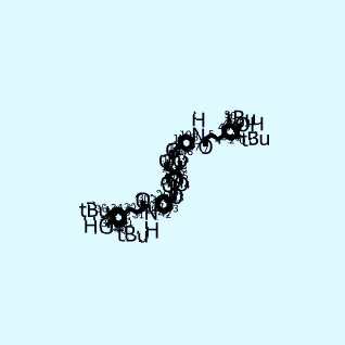 CC(C)(C)c1cc(CCC(=O)Nc2ccc(OP3OCC4(CO3)COP(Oc3ccc(NC(=O)CCc5cc(C(C)(C)C)c(O)c(C(C)(C)C)c5)cc3)OC4)cc2)cc(C(C)(C)C)c1O